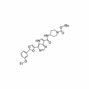 CCOc1cccc(C2OC=C(c3ncnc4c(C(=O)NC5CCN(C(=O)OC(C)(C)C)CC5)c[nH]c34)O2)c1